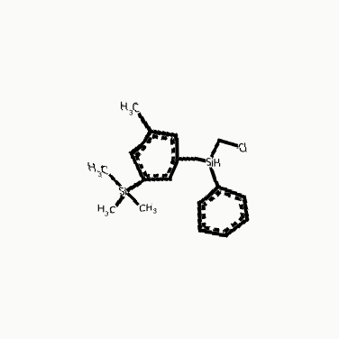 Cc1cc([SiH](CCl)c2ccccc2)cc([Si](C)(C)C)c1